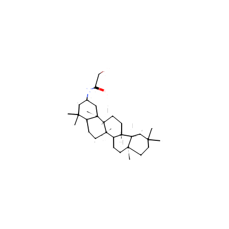 CC1(C)CC[C@]2(C)CC[C@]3(C)[C@H](CC[C@@H]4[C@@]5(C)CC(NC(=O)CBr)CC(C)(C)C5CC[C@]43C)[C@H]2C1